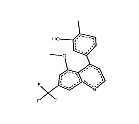 COc1cc(C(F)(F)F)cc2nccc(-c3ccc(C)c(O)c3)c12